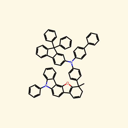 CC1(c2ccc(N(c3ccc(-c4ccccc4)cc3)c3ccc4c(c3)C(c3ccccc3)(c3ccccc3)c3ccccc3-4)cc2)CC=Cc2c1oc1c2ccc2c1c1ccccc1n2-c1ccccc1